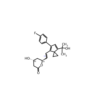 CC(C)(O)C1=CC(c2ccc(F)cc2)=C(/C=C/[C@@H]2C[C@@H](O)CC(=O)O2)C12CC2